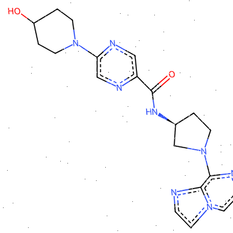 O=C(N[C@H]1CCN(c2nccn3ccnc23)C1)c1cnc(N2CCC(O)CC2)cn1